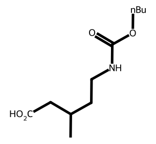 CCCCOC(=O)NCCC(C)CC(=O)O